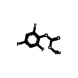 CCC(C)OC(=O)Oc1c(F)cc(F)cc1F